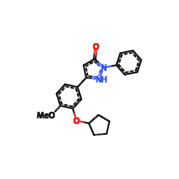 COc1ccc(-c2cc(=O)n(-c3ccccc3)[nH]2)cc1OC1CCCC1